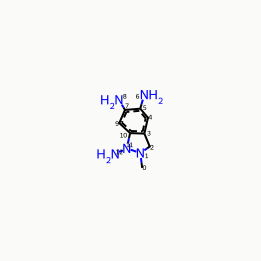 CN1Cc2cc(N)c(N)cc2N1N